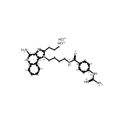 CCCc1nc2c(N)nc3ccccc3c2n1CCCCNC(=O)c1ccc(NC(=N)N)cc1.Cl.Cl